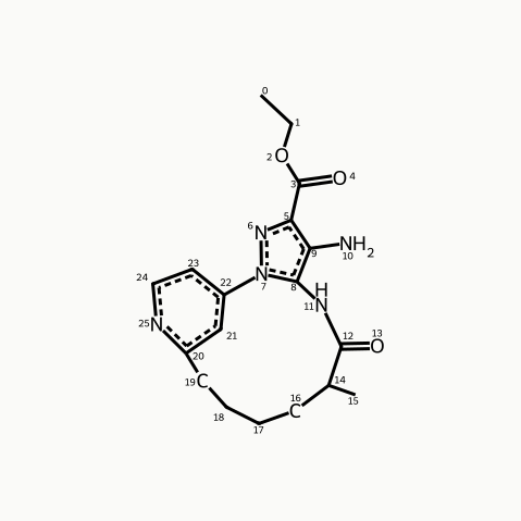 CCOC(=O)c1nn2c(c1N)NC(=O)C(C)CCCCc1cc-2ccn1